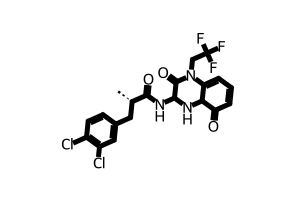 C[C@@H](Cc1ccc(Cl)c(Cl)c1)C(=O)NC1NC2C(=O)C=CC=C2N(CC(F)(F)F)C1=O